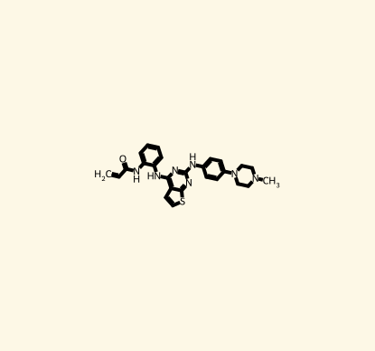 C=CC(=O)Nc1ccccc1Nc1nc(Nc2ccc(N3CCN(C)CC3)cc2)nc2sccc12